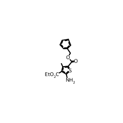 CCOC(=O)c1c(N)sc(C(=O)OCc2ccccc2)c1C